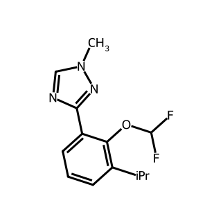 CC(C)c1cccc(-c2ncn(C)n2)c1OC(F)F